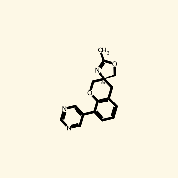 CC1=N[C@@]2(CO1)COc1c(cccc1-c1cncnc1)C2